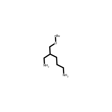 CCCCOCC(CN)CCCN